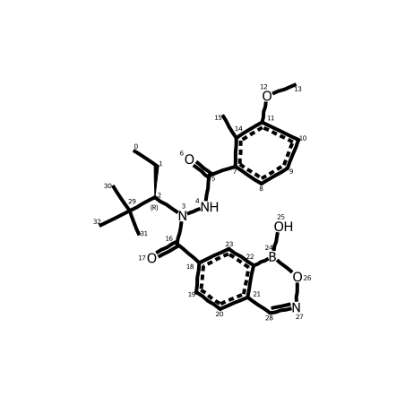 CC[C@@H](N(NC(=O)c1cccc(OC)c1C)C(=O)c1ccc2c(c1)B(O)ON=C2)C(C)(C)C